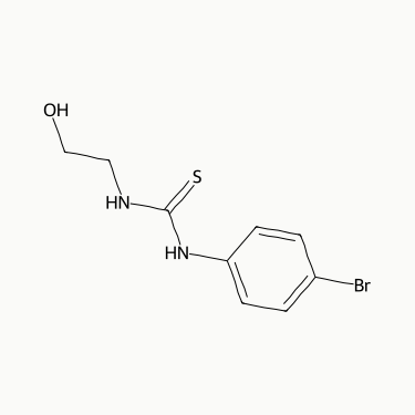 OCCNC(=S)Nc1ccc(Br)cc1